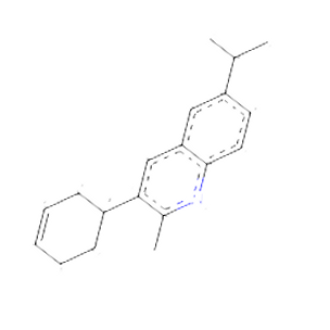 Cc1nc2ccc(C(C)C)cc2cc1C1CC=CCC1